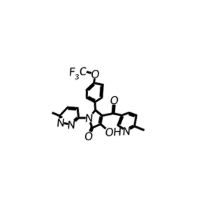 Cc1ccc(C(=O)C2=C(O)C(=O)N(c3ccc(C)nn3)C2c2ccc(OC(F)(F)F)cc2)cn1